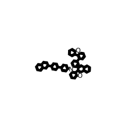 c1ccc2cc(-c3ccc(-c4ccc(N(c5ccc(-c6cccc7oc8ccccc8c67)cc5)c5cccc6oc7c8ccccc8ccc7c56)cc4)cc3)ccc2c1